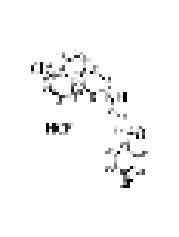 Cl.O=C(CCCNC1CCC2(CC=Cc3c(Cl)cccc32)CC1)c1ccc(Br)cc1